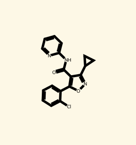 O=C(Nc1ccccn1)c1c(C2CC2)noc1-c1ccccc1Cl